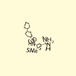 CSc1sc(C(=N)N)cc1NS(=O)(=O)c1ccc(-c2ccccc2)cc1